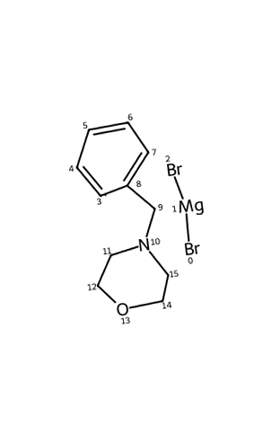 [Br][Mg][Br].[c]1ccccc1CN1CCOCC1